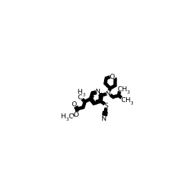 COC(=O)CC(C)c1cnc(N(CC(C)C)C2CCOCC2)c(SC#N)c1